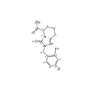 O=C(O)C1CCCc2nn(Cc3ccc(F)cc3F)c(=O)n21